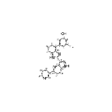 Oc1cc(F)cc(-c2cncc3[nH]c(-c4n[nH]c5ccc(-c6cccnc6)nc45)nc23)c1